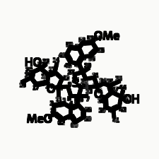 COc1ccc2c(C(C)(CCC3(C)CC(C)=C4C(=CC(C)=CC4(C)O)O3)CSCC(C)(CCC3(C)CC(C)=C4C(=CC(C)=CC4(C)O)O3)c3cccc4cc(OC)ccc34)cccc2c1